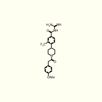 COc1ccc(CC(=O)N2CCC(c3ccc(C(=O)NC(=N)N)cc3C(F)(F)F)CC2)cc1